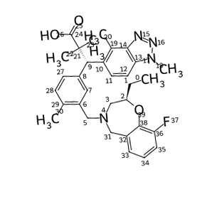 CC[C@@H]1CN(Cc2cc([C@@H](c3ccc4c(nnn4C)c3C)C(C)(C)C(=O)O)ccc2C)Cc2cccc(F)c2O1